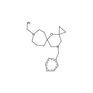 CC(C)CN1CCCC2(CC1)CN(Cc1ccccc1)CC1(CC1)O2